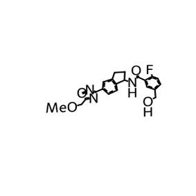 COCc1nc(-c2ccc3c(c2)CCC3NC(=O)c2cc(CO)ccc2F)no1